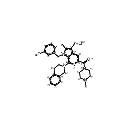 Cc1c(C)n(Cc2cccc(F)c2)c2c(N3CCc4ccccc4C3)nc(C(=O)N3CCN(C)CC3)cc12.Cl